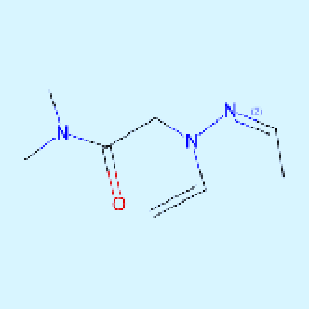 C=CN(CC(=O)N(C)C)/N=C\C